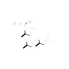 C=C(C)C(=O)O.C=C(C)C(=O)O.C=C(C)C(=O)O.CCC[CH2][Sn][CH2]CCC.Cl.Cl